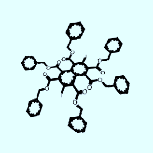 O=C(OCc1ccccc1)c1c(I)c(C(=O)OCc2ccccc2)c2c(C(=O)OCc3ccccc3)c(C(=O)OCc3ccccc3)c(I)c(C(=O)OCc3ccccc3)c2c1C(=O)OCc1ccccc1